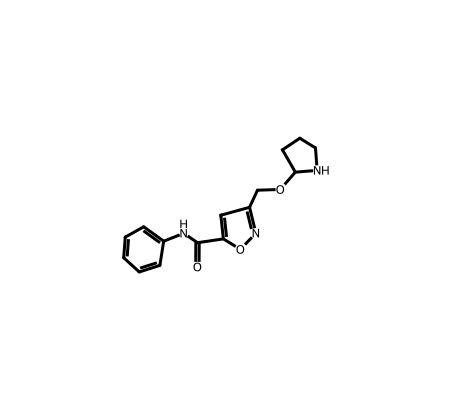 O=C(Nc1ccccc1)c1cc(COC2CCCN2)no1